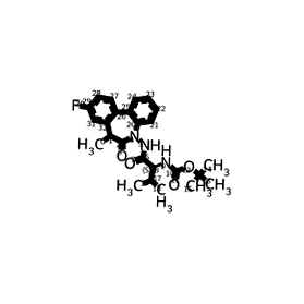 CC1C(=O)N(NC(=O)[C@@H](NC(=O)OC(C)(C)C)C(C)C)c2ccccc2-c2ccc(F)cc21